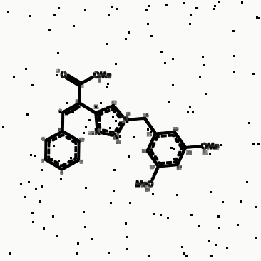 COC(=O)C(=Cc1ccccc1)c1cn(Cc2cc(OC)cc(OC)c2)nn1